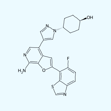 Nc1ncc(-c2cnn([C@H]3CC[C@H](O)CC3)c2)c2cc(-c3c(F)ccc4ncsc34)oc12